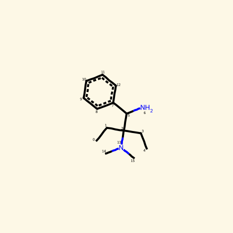 CCC(CC)(C(N)c1ccccc1)N(C)C